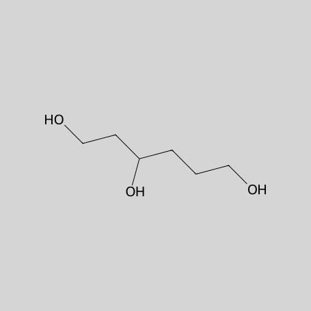 OCCCC(O)CCO